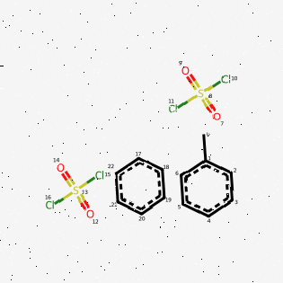 Cc1ccccc1.O=S(=O)(Cl)Cl.O=S(=O)(Cl)Cl.c1ccccc1